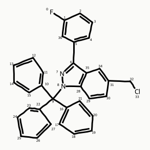 Fc1cccc(-c2nn(C(c3ccccc3)(c3ccccc3)c3ccccc3)c3ccc(CCl)cc23)c1